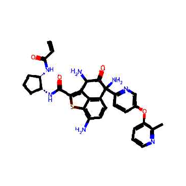 C=CC(=O)N[C@H]1CCC[C@H]1NC(=O)c1sc2c(N)ccc3c2c1C(N)C(=O)C3(N)c1ccc(Oc2cccnc2C)cn1